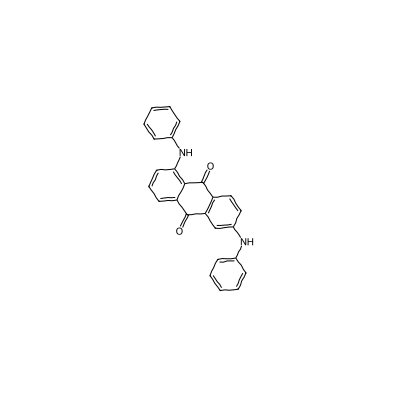 O=C1c2cc(Nc3ccccc3)ccc2C(=O)c2c(Nc3ccccc3)cccc21